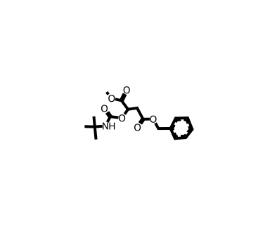 COC(=O)C(CC(=O)OCc1ccccc1)OC(=O)NC(C)(C)C